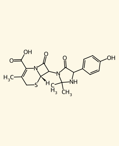 CC1=C(C(=O)O)N2C(=O)C(N3C(=O)C(c4ccc(O)cc4)NC3(C)C)[C@@H]2SC1